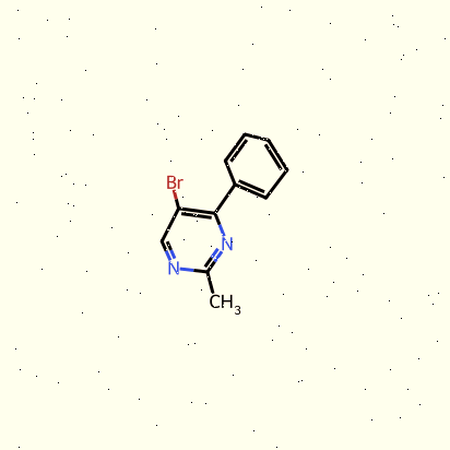 Cc1ncc(Br)c(-c2ccccc2)n1